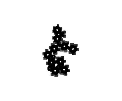 CC1(C)c2ccccc2-c2ccc(N(c3ccc(-c4ccccc4)cc3)c3ccc(-c4cccc5c4oc4c(-c6cccc7c6oc6ccccc67)c6c(cc45)oc4ccccc46)cc3)cc21